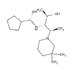 C[C@H]([C@H](N[C@@H](O)C1CCCC1)[C@@H](C)O)N1CCCC(C)(C)C1